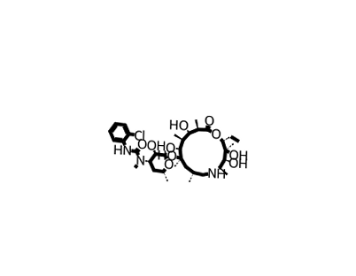 CC[C@H]1OC(=O)[C@H](C)[C@@H](O)[C@H](C)[C@@H](O[C@@H]2O[C@H](C)C[C@H](N(C)C(=O)Nc3ccccc3Cl)[C@H]2O)[C@](C)(O)C[C@@H](C)CN[C@H](C)[C@@H](O)[C@]1(C)O